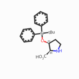 CC(C)(C)[Si](O[C@H]1CCN[C@H]1C(=O)O)(c1ccccc1)c1ccccc1